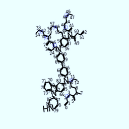 C=C/C=C\C(=C)C(C)CC/C(=C\C)N(c1ccc(-c2ccc(N(/C(C=C)=C/C(=C)/C(C)=C/C=C\C)c3ccc(N(C(=C)/C=C\C/C=C\C)C(=C)CC=C)c(CC/C=C\C)c3)cc2)cc1)C1C=Cc2c(c3ccccc3n2C2CC=CNCC2)C1